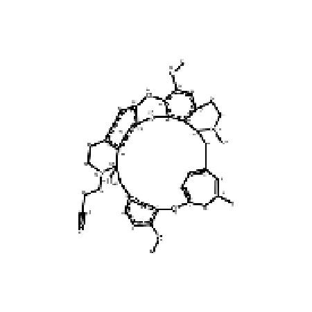 COc1ccc2cc1OC1=CC=C(C=C(C)C1)CC1c3c(cc(OC)c4c3Oc3cc5c(cc3O4)CCN(CCC#N)[C@H]5C2)CCN1C